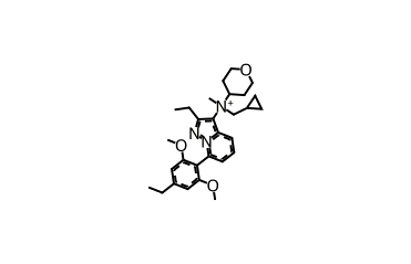 CCc1cc(OC)c(-c2cccc3c([N+](C)(CC4CC4)C4CCOCC4)c(CC)nn23)c(OC)c1